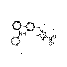 Cc1nc([N+](=O)[O-])cn1Cc1ccc(-c2ccccc2Nc2ccccc2)cc1